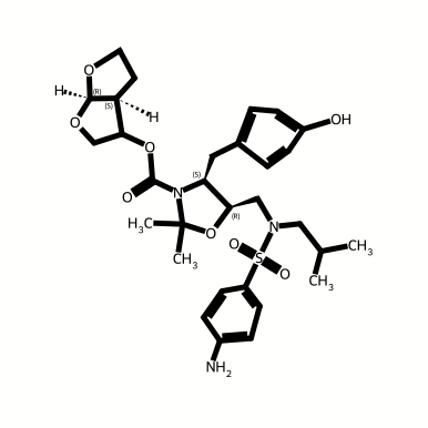 CC(C)CN(C[C@H]1OC(C)(C)N(C(=O)OC2CO[C@H]3OCC[C@@H]23)[C@H]1Cc1ccc(O)cc1)S(=O)(=O)c1ccc(N)cc1